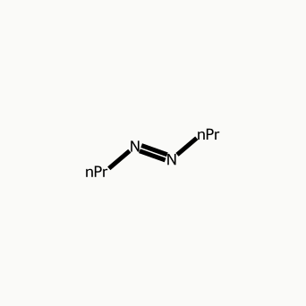 CCCN=NCCC